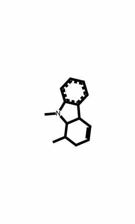 CC1CC=CC2c3ccccc3N(C)C12